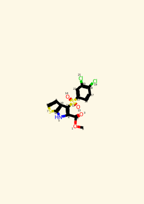 COC(=O)c1[nH]c2sccc2c1S(=O)(=O)c1ccc(Cl)c(Cl)c1